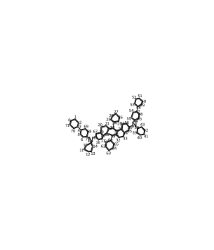 c1ccc(-c2ccc(N(c3ccccc3)c3ccc4c(ccc5c(-c6ccccc6)c6c(ccc7cc(N(c8ccccc8)c8ccc(-c9ccccc9)cc8)ccc76)c(-c6ccccc6)c54)c3)cc2)cc1